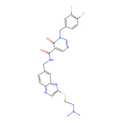 CN(C)CCSc1cnc2ccc(CNC(=O)c3cncn(Cc4ccc(F)c(F)c4)c3=O)cc2n1